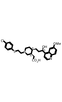 COc1ccc2nccc([C@H](O)CC[C@@H]3CCN(CCSc4ccc(Cl)cc4)C[C@@H]3CC(=O)O)c2c1